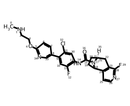 CNCCOc1ccc(-c2cc(F)c(NC(=O)N3C4CC[C@H]3Cc3c4ccnc3F)cc2Cl)cn1